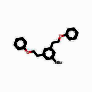 CCCCc1cc(CCOc2ccccc2)[c]c(CCOc2ccccc2)c1